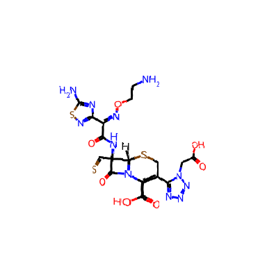 NCCON=C(C(=O)NC1(C=S)C(=O)N2C(C(=O)O)=C(c3nnnn3CC(=O)O)CS[C@H]21)c1nsc(N)n1